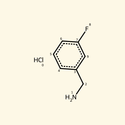 Cl.NCc1cccc(F)c1